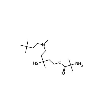 CN(CCC(C)(C)C)CCC(C)(S)CCOC(=O)C(C)(C)N